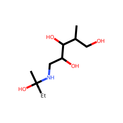 CCC(C)(O)NCC(O)C(O)C(C)CO